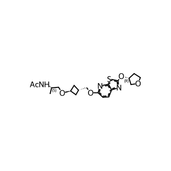 CC(=O)N[C@@H](C)CO[C@H]1C[C@H](COc2ccc3nc(O[C@@H]4CCOC4)sc3n2)C1